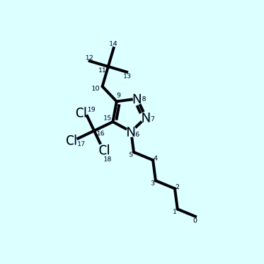 CCCCCCn1nnc(CC(C)(C)C)c1C(Cl)(Cl)Cl